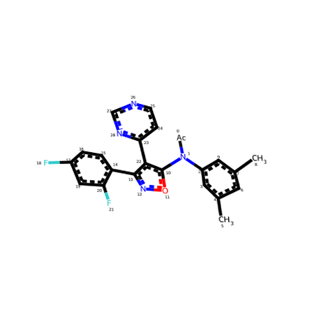 CC(=O)N(c1cc(C)cc(C)c1)c1onc(-c2ccc(F)cc2F)c1-c1ccncn1